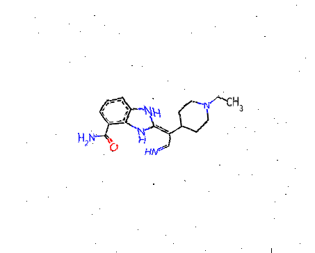 CCN1CCC(/C(C=N)=C2\Nc3cccc(C(N)=O)c3N2)CC1